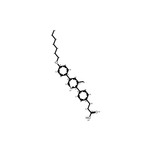 CCCCCCCOc1ccc(-c2cnc(-c3ccc(CCC(=O)O)cc3)c(C)c2)cc1